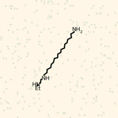 CCNCCNCCCCCCCCCCCCCCCCCCN